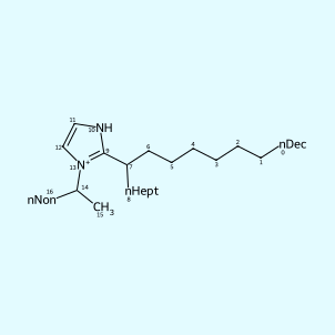 CCCCCCCCCCCCCCCCC(CCCCCCC)c1[nH]cc[n+]1C(C)CCCCCCCCC